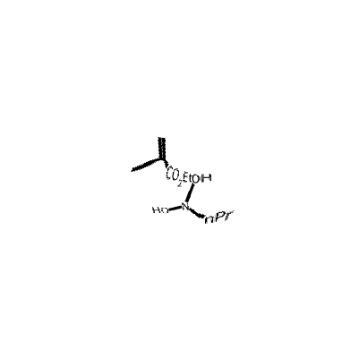 C=C(C)C(=O)OCC.CCCN(O)O